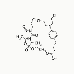 CCOP(=O)(OCC)C(C)NC(=O)N(CCCl)N=O.O=C(O)CCCc1ccc(N(CCCl)CCCl)cc1